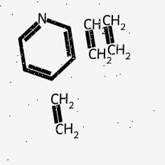 C=C.C=C.C=C.c1ccncc1